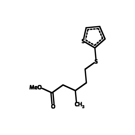 COC(=O)CC(C)CCSc1cccs1